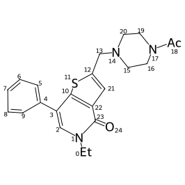 CCn1cc(-c2ccccc2)c2sc(CN3CCN(C(C)=O)CC3)cc2c1=O